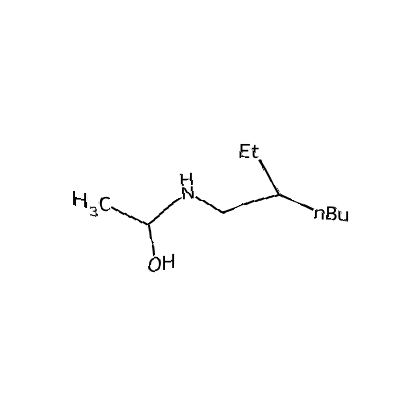 CCCCC(CC)CNC(C)O